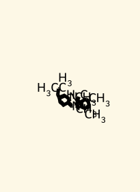 Cc1cc(C)c(C)c(C2(C)N=c3cc(CC(C)C)ccc3=CN2C)c1